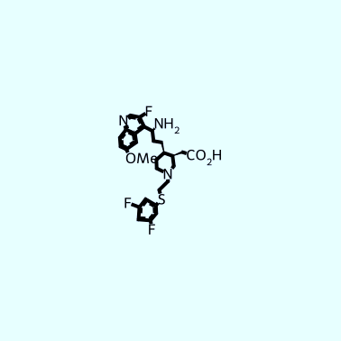 COc1ccc2ncc(F)c([C@@H](N)CC[C@@H]3CCN(CCSc4cc(F)cc(F)c4)C[C@@H]3CC(=O)O)c2c1